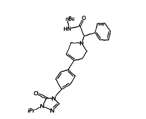 CCCCNC(=O)C(c1ccccc1)N1CC=C(c2ccc(-n3cnn(C(C)C)c3=O)cc2)CC1